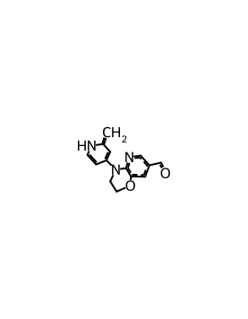 C=C1C=C(N2CCOc3cc(C=O)cnc32)C=CN1